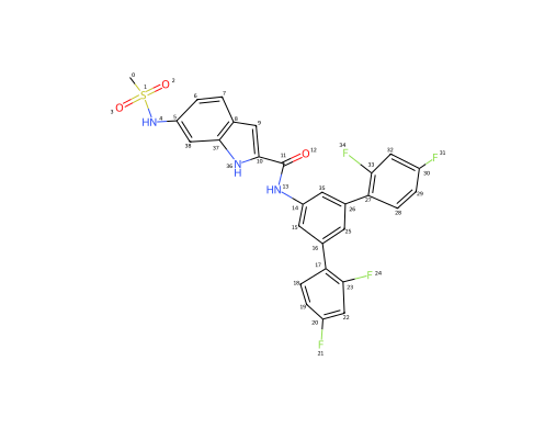 CS(=O)(=O)Nc1ccc2cc(C(=O)Nc3cc(-c4ccc(F)cc4F)cc(-c4ccc(F)cc4F)c3)[nH]c2c1